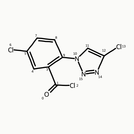 O=C(Cl)c1cc(Cl)ccc1-n1cc(Cl)nn1